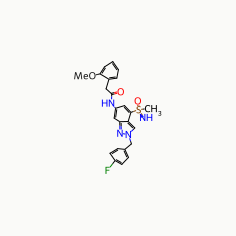 COc1ccccc1CC(=O)Nc1cc(S(C)(=N)=O)c2cn(Cc3ccc(F)cc3)nc2c1